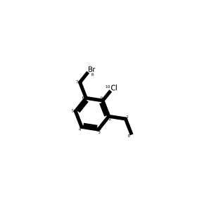 CCc1[c]ccc(CBr)c1Cl